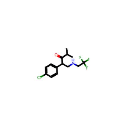 CC(C)C(=O)C(CNCC(F)(F)F)c1ccc(Cl)cc1